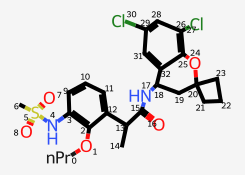 CCCOc1c(NS(C)(=O)=O)cccc1C(C)C(=O)NC1CC2(CCC2)Oc2c(Cl)cc(Cl)cc21